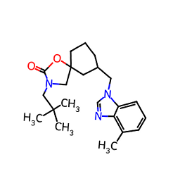 Cc1cccc2c1ncn2CC1CCCC2(C1)CN(CC(C)(C)C)C(=O)O2